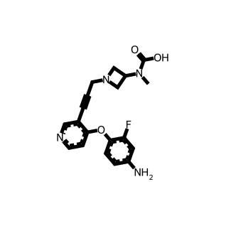 CN(C(=O)O)C1CN(CC#Cc2cnccc2Oc2ccc(N)cc2F)C1